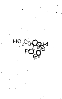 N#Cc1cc(F)cc(-c2cc(CN(C3CC3)S(=O)(=O)c3ccc(F)cc3)ccc2OCC(=O)O)c1